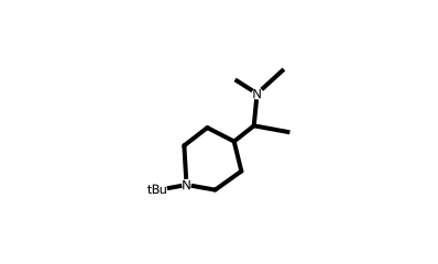 CC(C1CCN(C(C)(C)C)CC1)N(C)C